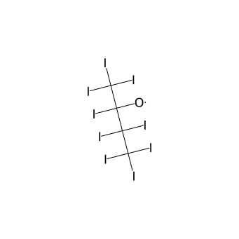 [O]C(I)(C(I)(I)I)C(I)(I)C(I)(I)I